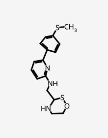 CSc1ccc(-c2cccc(NCC3NCCOS3)n2)cc1